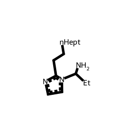 CCCCCCCCCc1nccn1C(N)CC